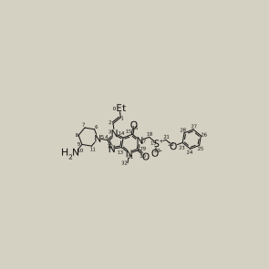 CC/C=C/n1c(N2CCCC(N)C2)nc2c1c(=O)n(C[S+]([O-])COc1ccccc1)c(=O)n2C